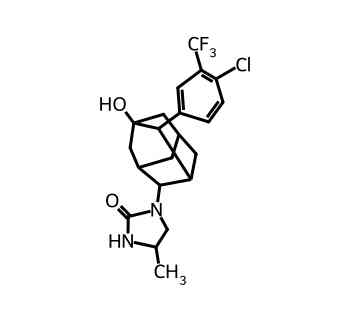 CC1CN(C2C3CC4CC2C(c2ccc(Cl)c(C(F)(F)F)c2)C(O)(C4)C3)C(=O)N1